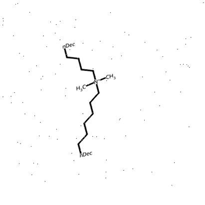 CCCCCCCCCCCCCCCC[N+](C)(C)CCCCCCCCCCCCCC